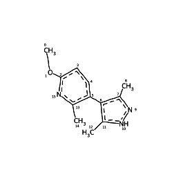 COc1ccc(-c2c(C)n[nH]c2C)c(C)n1